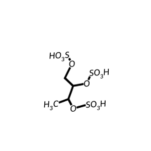 CC(OS(=O)(=O)O)C(COS(=O)(=O)O)OS(=O)(=O)O